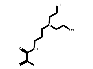 C=C(C)C(=O)NCCCN(CCO)CCO